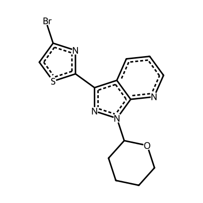 Brc1csc(-c2nn(C3CCCCO3)c3ncccc23)n1